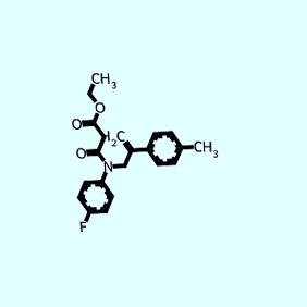 C=C(CN(C(=O)CC(=O)OCC)c1ccc(F)cc1)c1ccc(C)cc1